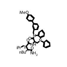 CCCC[C@H](C(N)=O)[C@@H](CC(C)C)C(=O)NC1CN(c2ccccc2)c2ccccc2N(Cc2cccc(-c3ccc(OC)cc3)c2)C1=O